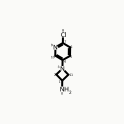 NC1CN(c2ccc(Cl)nc2)C1